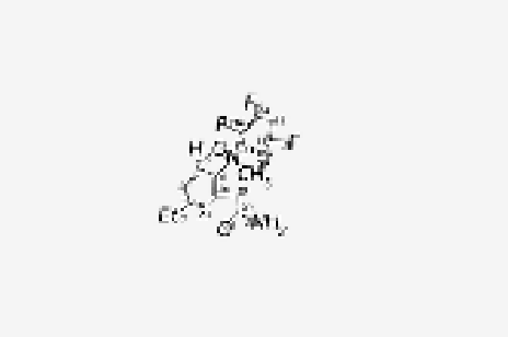 CCc1ccc([N+](C)(C)c2c(F)c(F)cc(F)c2F)c(CC(N)=O)c1